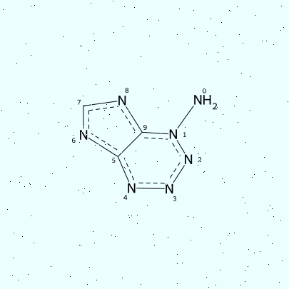 Nn1nnnc2ncnc1-2